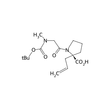 C=CC[C@@]1(C(=O)O)CCCN1C(=O)CN(C)C(=O)OC(C)(C)C